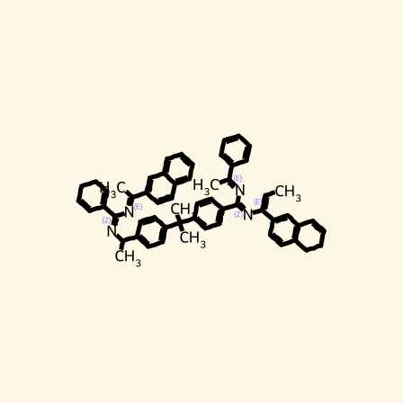 C/C=C(/N=C(\N=C(/C)c1ccccc1)c1ccc(C(C)(C)c2ccc(C(C)/N=C(\N=C(/C)c3ccc4ccccc4c3)C3=CCCC=C3)cc2)cc1)c1ccc2c(c1)C=CCC2